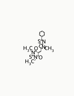 CCN1C(=O)C(=Cc2cc3sc(-c4ccccc4)nc3n2C)C(=O)N(CC)C1=S